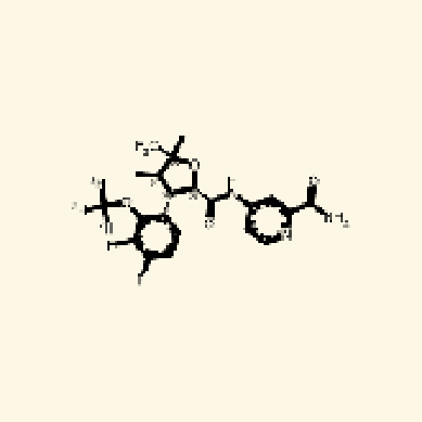 [2H]C([2H])([2H])Oc1c([C@@H]2[C@@H](C)[C@@](C)(C(F)(F)F)O[C@H]2C(=O)Nc2ccnc(C(N)=O)c2)ccc(F)c1F